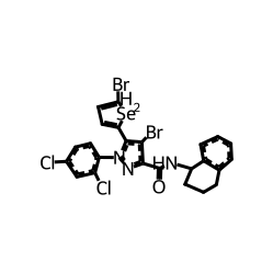 O=C(NC1CCCc2ccccc21)c1nn(-c2ccc(Cl)cc2Cl)c(C2=CC=C(Br)[SeH2]2)c1Br